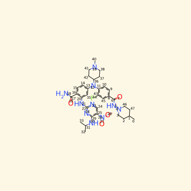 CC1CCN(NC(=O)c2ccc(N(c3ccc(C(N)=O)c(Nc4ncc([N+](=O)[O-])c(NC(C)C)n4)c3)C3CCN(C)CC3)c(F)c2)CC1